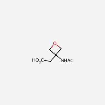 CC(=O)NC1(CC(=O)O)COC1